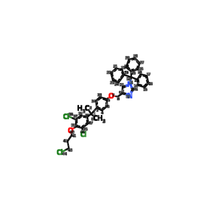 CC(C)(c1ccc(OCc2cn(C(c3ccccc3)(c3ccccc3)c3ccccc3)cn2)cc1)c1cc(Cl)c(OCCCCl)c(Cl)c1